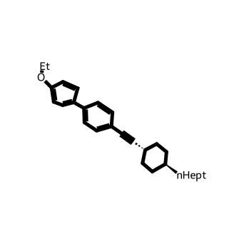 CCCCCCC[C@H]1CC[C@H](C#Cc2ccc(-c3ccc(OCC)cc3)cc2)CC1